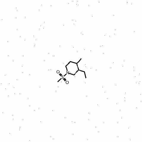 CCC1CN(S(C)(=O)=O)CCC1C